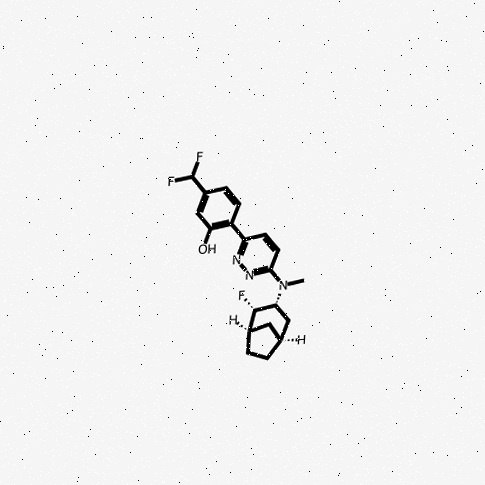 CN(c1ccc(-c2ccc(C(F)F)cc2O)nn1)[C@@H]1C[C@H]2CC[C@H](C2)[C@@H]1F